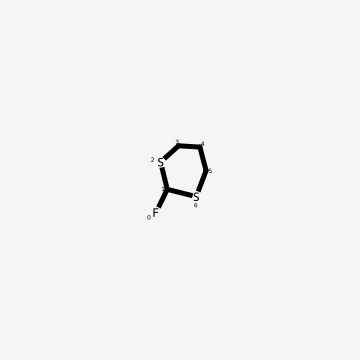 FC1SCCCS1